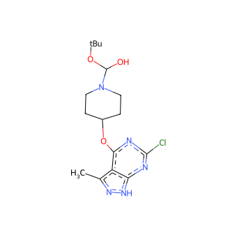 Cc1n[nH]c2nc(Cl)nc(OC3CCN(C(O)OC(C)(C)C)CC3)c12